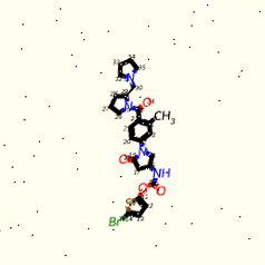 Cc1cc(N2CC(NC(=O)Oc3ccc(Br)s3)CC2=O)ccc1C(=O)N1CCC[C@H]1CN1CCCC1